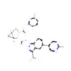 Cc1ncc(-c2ccc3c(c2)c(C(C)O)nn3CC(=O)N2[C@@H]3C[C@@H]3C[C@H]2C(=O)Nc2cccc(Br)n2)cn1